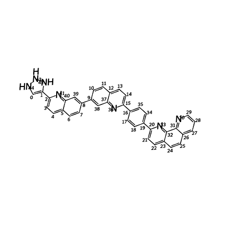 C1=C(c2ccc3ccc(-c4ccc5ccc(-c6ccc(-c7ccc8ccc9cccnc9c8n7)cc6)nc5c4)cc3n2)NNN1